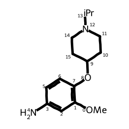 COc1cc(N)ccc1OC1CCN(C(C)C)CC1